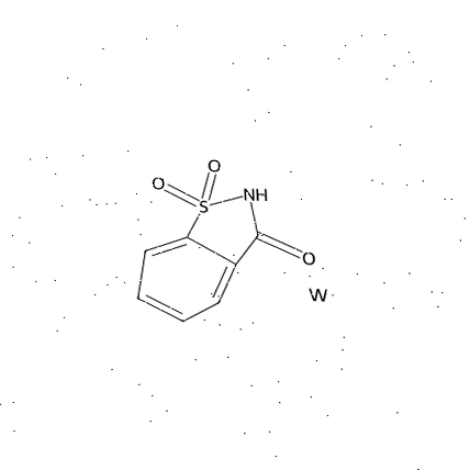 O=C1NS(=O)(=O)c2ccccc21.[W]